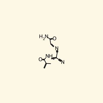 C=C(C#N)C#N.C=C(C)C(N)=O.C=CC(N)=O